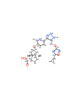 Cc1nc(-c2nnn(C)c2COc2noc(C3CC3)n2)ccc1O[C@@H]1C[C@H]2CC[C@H](C(=O)O)[C@H]2C1